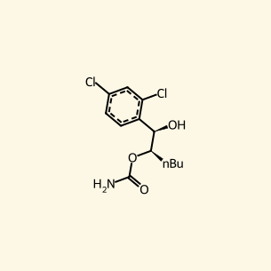 CCCC[C@@H](OC(N)=O)[C@H](O)c1ccc(Cl)cc1Cl